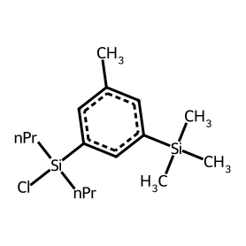 CCC[Si](Cl)(CCC)c1cc(C)cc([Si](C)(C)C)c1